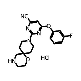 Cl.N#Cc1cc(Oc2cccc(F)c2)nc(N2CCC3(CC2)CNCCO3)n1